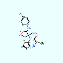 CC(C)C[C@]([C]=O)(C(=O)Nc1ccc(Cl)cc1)N(C(=O)[C@H](C)N)c1cccs1